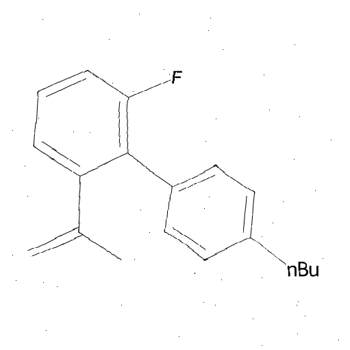 C=C(C)c1cccc(F)c1-c1ccc(CCCC)cc1